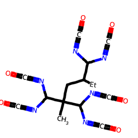 CCC(CC(C)(C(N=C=O)N=C=O)C(N=C=O)N=C=O)C(N=C=O)N=C=O